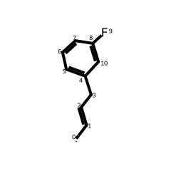 [CH2]C=CCc1cccc(F)c1